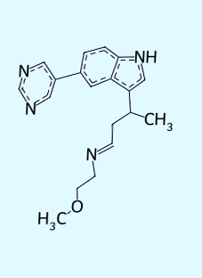 COCCN=CCC(C)c1c[nH]c2ccc(-c3cncnc3)cc12